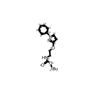 CC(C)(C)OC(=O)NCCOc1ccn(-c2ccccc2)n1